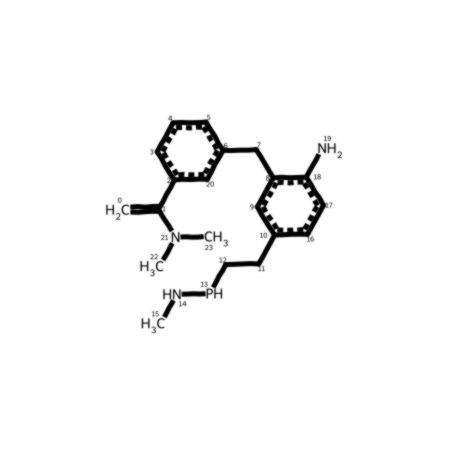 C=C(c1cccc(Cc2cc(CCPNC)ccc2N)c1)N(C)C